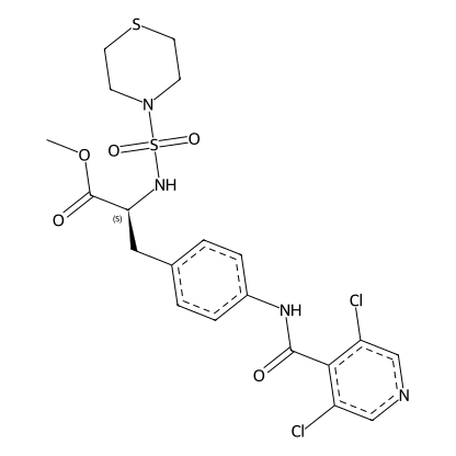 COC(=O)[C@H](Cc1ccc(NC(=O)c2c(Cl)cncc2Cl)cc1)NS(=O)(=O)N1CCSCC1